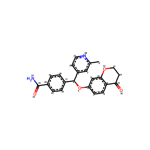 Cc1cc([C@@H](Oc2ccc3c(c2)OCCC3=O)c2ccc(C(N)=O)cc2)ccn1